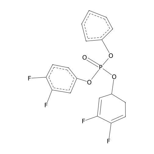 O=P(Oc1ccccc1)(Oc1ccc(F)c(F)c1)OC1C=C(F)C(F)=CC1